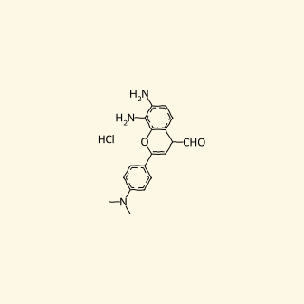 CN(C)c1ccc(C2=CC(C=O)c3ccc(N)c(N)c3O2)cc1.Cl